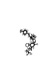 Cc1cc(N=CN(C)C(C)C)c(Cl)cc1Oc1nc(C=Cc2ccc(F)cc2)ns1